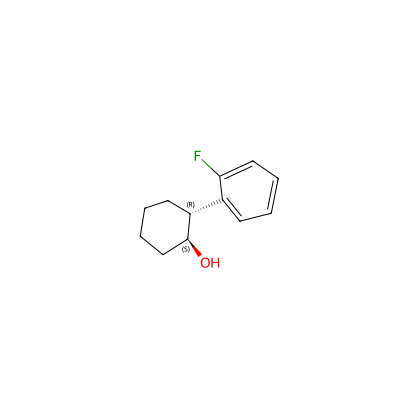 O[C@H]1CCCC[C@@H]1c1ccccc1F